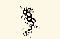 CC(=O)NCCC[C@@H](C)[C@H]1CC=C2C3=C(CC[C@@]21C)[C@@]1(C)CCC(O)C(C)(C)[C@@H]1CC3